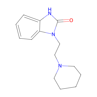 O=c1[nH]c2ccccc2n1CCN1CCCCC1